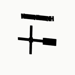 C#C[Si](C)(C)C.[N-]=[N+]=N